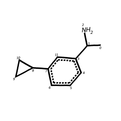 CC(N)c1cccc(C2CC2)c1